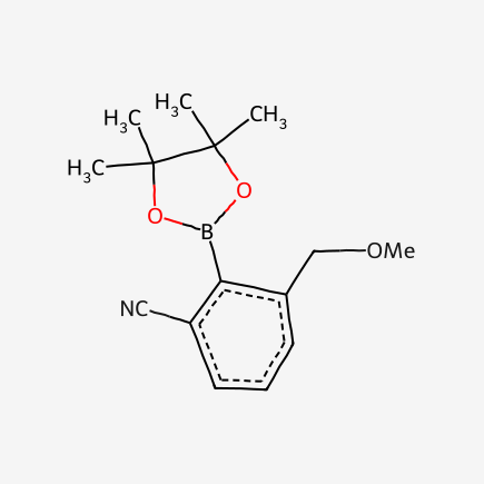 COCc1cccc(C#N)c1B1OC(C)(C)C(C)(C)O1